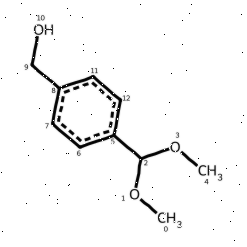 COC(OC)c1ccc(CO)cc1